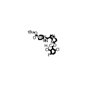 C[C@@H](Oc1ccn2ncc(C3=NOC4(CCN(C(=O)OC(C)(C)C)CC4)N3)c2n1)c1c(Cl)ccc(F)c1Cl